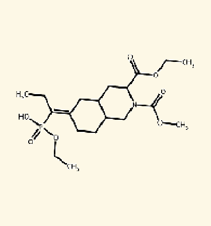 CCOC(=O)C1CC2CC(=C(CC)P(=O)(O)OCC)CCC2CN1C(=O)OC